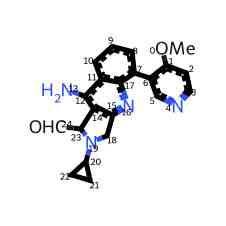 COc1ccncc1-c1cccc2c(N)c3c(nc12)CN(C1CC1)C3C=O